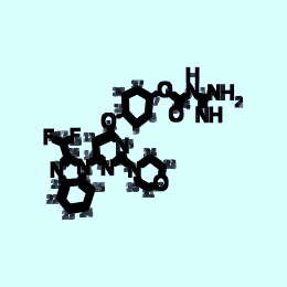 N=C(N)NC(=O)O[C@H]1CC[C@H](Oc2cc(-n3c(C(F)F)nc4ccccc43)nc(N3CCOCC3)n2)CC1